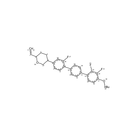 C=CC1CCC(c2ccc(-c3ccc(-c4ccc(OCCCC)c(F)c4F)cc3)c(F)c2)CO1